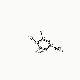 Cc1cc([N+](=O)[O-])ccc1[O-].[Na+]